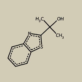 CC(C)(O)c1nc2ccccc2s1